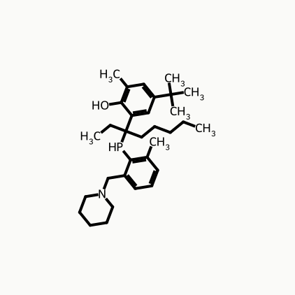 CCCCCC(CC)(Pc1c(C)cccc1CN1CCCCC1)c1cc(C(C)(C)C)cc(C)c1O